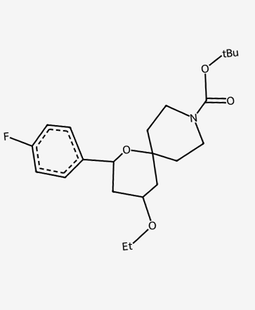 CCOC1CC(c2ccc(F)cc2)OC2(CCN(C(=O)OC(C)(C)C)CC2)C1